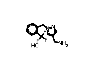 Cl.NCc1cnn(Cc2ccccc2C(F)(F)F)c1